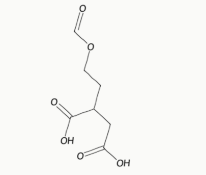 O=COCCC(CC(=O)O)C(=O)O